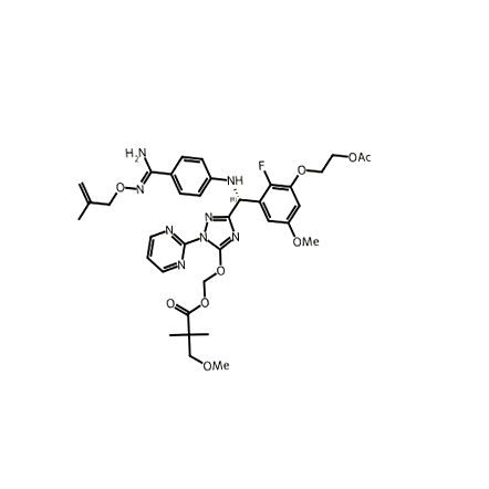 C=C(C)CON=C(N)c1ccc(N[C@@H](c2nc(OCOC(=O)C(C)(C)COC)n(-c3ncccn3)n2)c2cc(OC)cc(OCCOC(C)=O)c2F)cc1